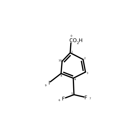 O=C(O)c1ccc(C(F)F)c(I)c1